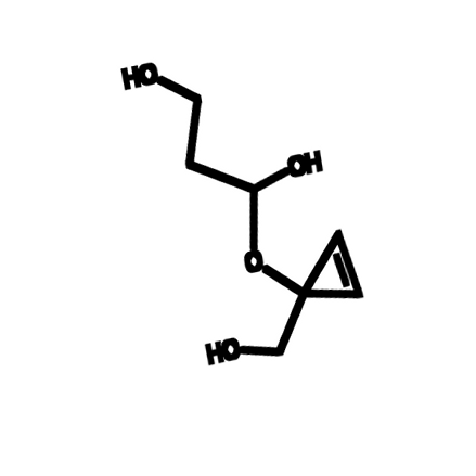 OCCC(O)OC1(CO)C=C1